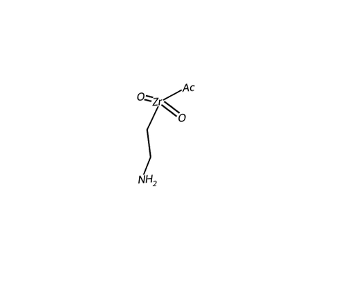 C[C](=O)[Zr](=[O])(=[O])[CH2]CN